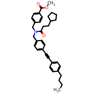 CCCCc1ccc(C#Cc2ccc(CN(Cc3ccc(C(=O)OC)cc3)C(=O)CCC3CCCC3)cc2)cc1